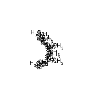 Cc1ccc(N(c2ccc(-c3ccc4c(c3)C(C)(C)c3ccccc3-4)cc2)c2ccc3c(c2)C(C)(C)c2cc(N(c4ccc(C)cc4)c4ccc(-c5ccc6c(c5)C(C)(C)c5cc(CC(C)C)ccc5-6)cc4)ccc2-3)cc1